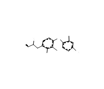 NC([C]=O)Cc1ccc(Oc2ccc(O)cc2I)c(I)c1I